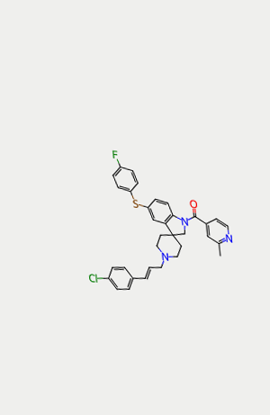 Cc1cc(C(=O)N2CC3(CCN(CC=Cc4ccc(Cl)cc4)CC3)c3cc(Sc4ccc(F)cc4)ccc32)ccn1